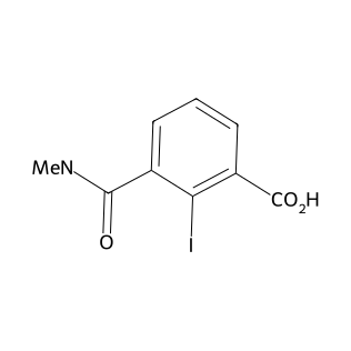 CNC(=O)c1cccc(C(=O)O)c1I